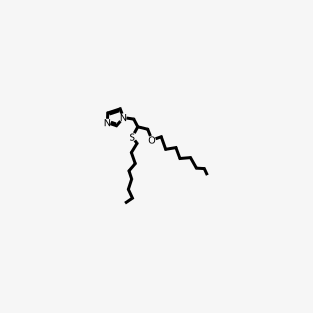 CCCCCCCCOCC(Cn1ccnc1)SCCCCCCCC